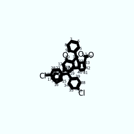 O=C1OC2(c3ccccc3Oc3cc(N4CCCC4)ccc32)c2c(NC(c3ccc(Cl)cc3)c3ccc(Cl)cc3)cccc21